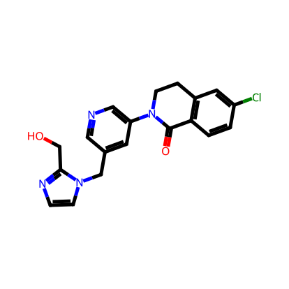 O=C1c2ccc(Cl)cc2CCN1c1cncc(Cn2ccnc2CO)c1